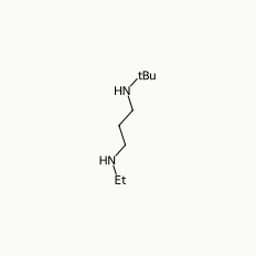 CCNCCCNC(C)(C)C